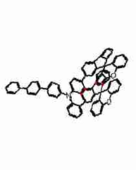 c1ccc(-c2ccc(-c3ccc(N(c4ccc(-c5ccc6c(c5)C5(c7ccccc7Oc7ccccc75)c5ccccc5-6)cc4)c4ccccc4-c4ccc5c(c4)C4(c6ccccc6Oc6ccccc64)c4ccccc4-5)cc3)cc2)cc1